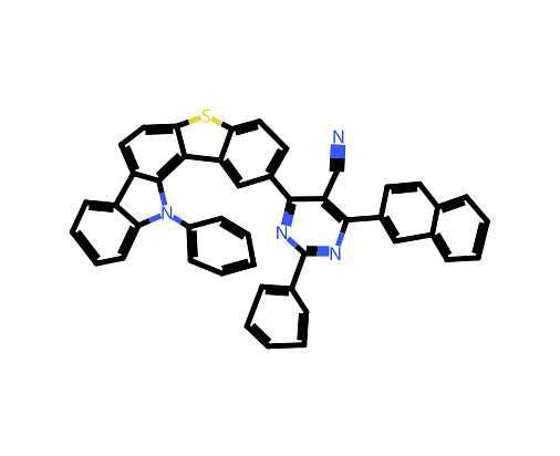 N#Cc1c(-c2ccc3ccccc3c2)nc(-c2ccccc2)nc1-c1ccc2sc3ccc4c5ccccc5n(-c5ccccc5)c4c3c2c1